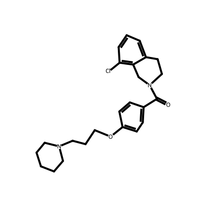 O=C(c1ccc(OCCCN2CCCCC2)cc1)N1CCc2cccc(Cl)c2C1